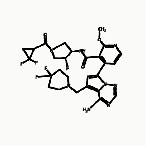 COc1nccc(-c2cc(CN3CCC(F)(F)CC3)c3c(N)ncnn23)c1C(=O)N[C@@H]1CN(C(=O)C2CC2(F)F)C[C@@H]1F